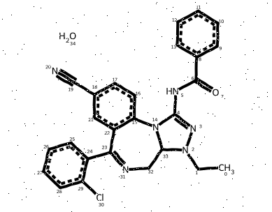 CCN1N=C(NC(=O)c2ccccc2)N2c3ccc(C#N)cc3C(c3ccccc3Cl)=NCC12.O